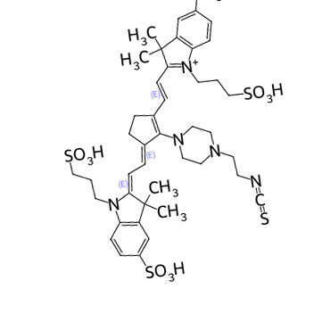 Cc1ccc2c(c1)C(C)(C)C(/C=C/C1=C(N3CCN(CCN=C=S)CC3)C(=C/C=C3/N(CCCS(=O)(=O)O)c4ccc(S(=O)(=O)O)cc4C3(C)C)/CC1)=[N+]2CCCS(=O)(=O)O